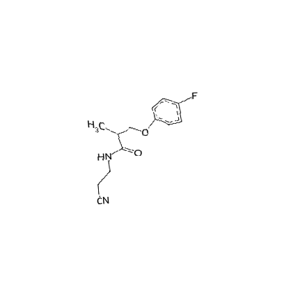 CC(COc1ccc(F)cc1)C(=O)NCCC#N